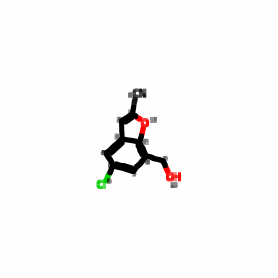 N#Cc1cc2cc(Cl)cc(CO)c2o1